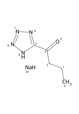 CCCC(=O)c1nnn[nH]1.[NaH]